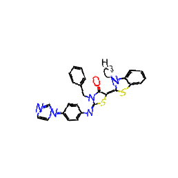 CN1C(=C2SC(=Nc3ccc(-n4ccnc4)cc3)N(Cc3ccccc3)C2=O)Sc2ccccc21